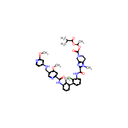 COc1cc(NCc2cnc(C(=O)Nc3cccc(-c4cccc(NC(=O)c5nc6c(n5C)CCN(C(=O)OC(C)OC(=O)C(C)C)C6)c4Cl)c3C)cc2OC)ccn1